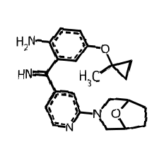 CC1(Oc2ccc(N)c(C(=N)c3ccnc(N4CC5CCC(C4)O5)c3)c2)CC1